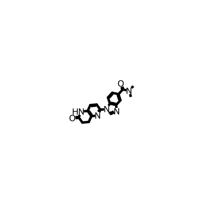 CN(C)C(=O)c1ccc2c(c1)ncn2-c1ccc2c(n1)CCC(=O)N2